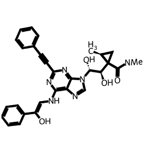 CNC(=O)C1([C@@H](O)[C@@H](O)n2cnc3c(N/C=C(\O)c4ccccc4)nc(C#Cc4ccccc4)nc32)C[C@@H]1C